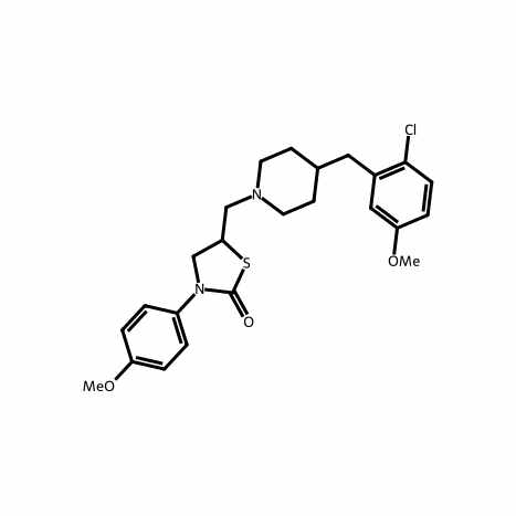 COc1ccc(N2CC(CN3CCC(Cc4cc(OC)ccc4Cl)CC3)SC2=O)cc1